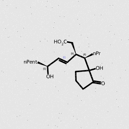 CCCCC[C@H](O)/C=C/[C@@H](CC(=O)O)[C@@H](CCC)C1(O)CCCC1=O